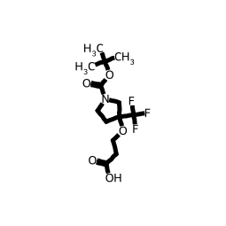 CC(C)(C)OC(=O)N1CCC(OCCC(=O)O)(C(F)(F)F)C1